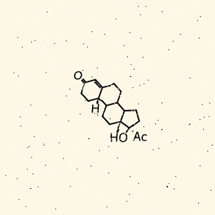 CC(=O)[C@@]1(O)CCC2C3CCC4=CC(=O)CC[C@H]4C3CC[C@]21C